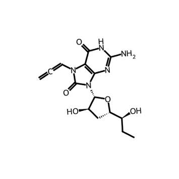 C=C=Cn1c(=O)n([C@@H]2O[C@H]([C@@H](O)CC)C[C@H]2O)c2nc(N)[nH]c(=O)c21